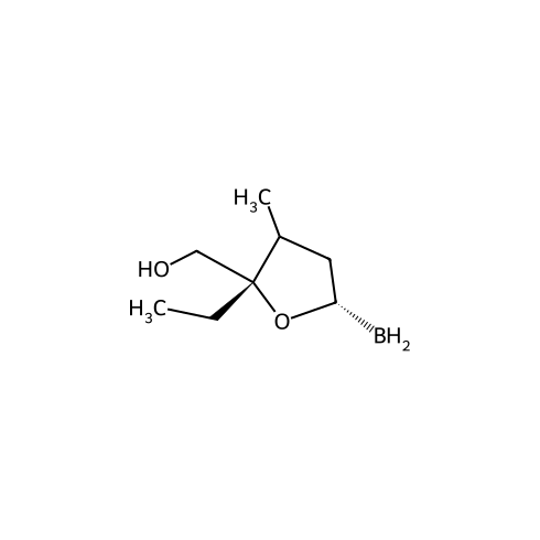 B[C@H]1CC(C)[C@@](CC)(CO)O1